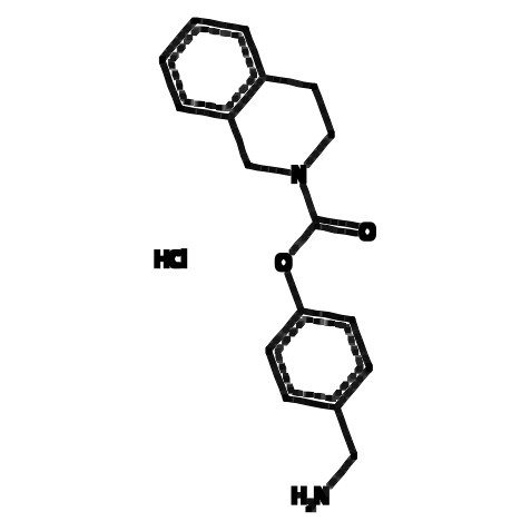 Cl.NCc1ccc(OC(=O)N2CCc3ccccc3C2)cc1